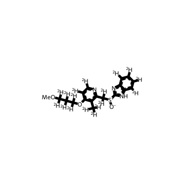 [2H]c1nc(C([2H])([2H])[S+]([O-])c2nc3c([2H])c([2H])c([2H])c([2H])c3[nH]2)c(C([2H])([2H])[2H])c(OC([2H])([2H])C([2H])([2H])C([2H])([2H])OC)c1[2H]